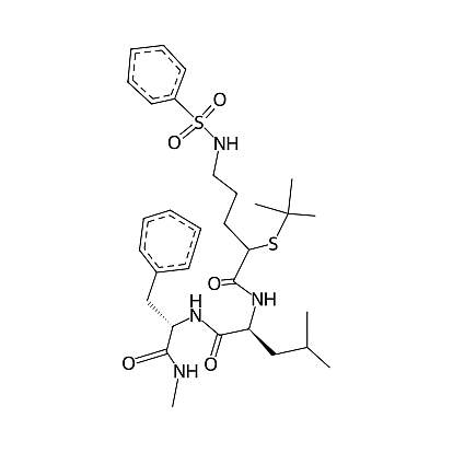 CNC(=O)[C@H](Cc1ccccc1)NC(=O)[C@H](CC(C)C)NC(=O)C(CCCNS(=O)(=O)c1ccccc1)SC(C)(C)C